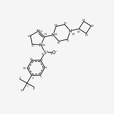 CC(C)(C)c1ccc([S+]([O-])N2CCN=C2N2CCN(C3CCC3)CC2)cc1